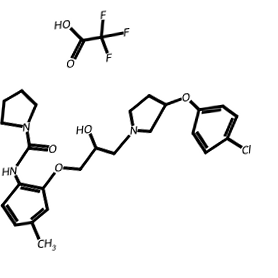 Cc1ccc(NC(=O)N2CCCC2)c(OCC(O)CN2CCC(Oc3ccc(Cl)cc3)C2)c1.O=C(O)C(F)(F)F